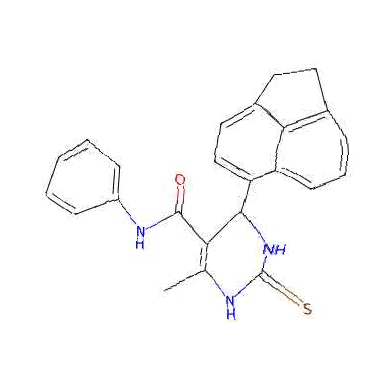 CC1=C(C(=O)Nc2ccccc2)C(c2ccc3c4c(cccc24)CC3)NC(=S)N1